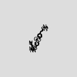 CN(C)CCn1nnnc1SC1CCN(C(=O)Oc2ccc(CCSc3nccn3C)cc2)CC1